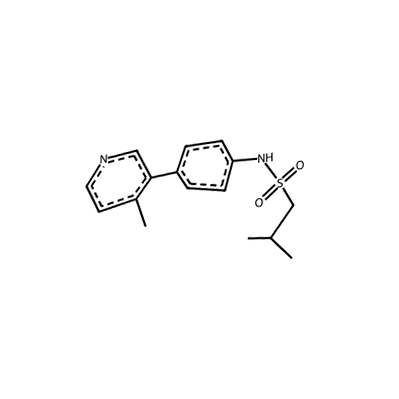 Cc1ccncc1-c1ccc(NS(=O)(=O)CC(C)C)cc1